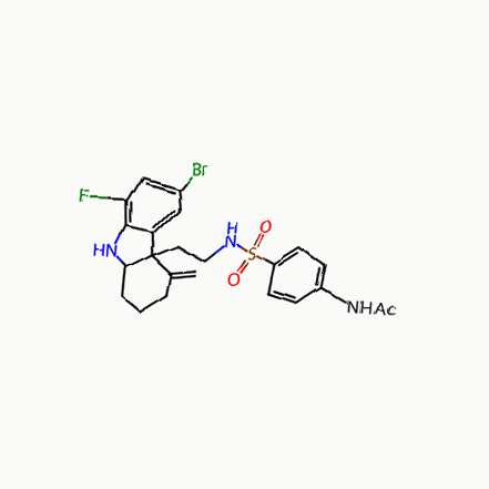 C=C1CCCC2Nc3c(F)cc(Br)cc3C12CCNS(=O)(=O)c1ccc(NC(C)=O)cc1